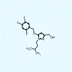 CC(C)CCn1nc(CO)cc1OCc1cc(F)c(F)cc1F